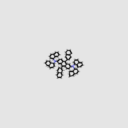 C1=Cc2ccc(-c3c4ccc(N(c5cccc6ccccc56)c5cccc6ccccc56)cc4c(-c4ccc5ccccc5c4)c4ccc(N(c5cccc6ccccc56)c5cccc6ccccc56)cc34)cc2CC1